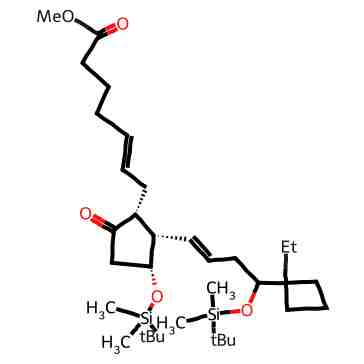 CCC1(C(CC=C[C@@H]2[C@H](O[Si](C)(C)C(C)(C)C)CC(=O)[C@@H]2CC=CCCCC(=O)OC)O[Si](C)(C)C(C)(C)C)CCC1